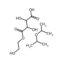 CC(C)OC(C)C.O=C(O)C(O)C(O)C(=O)OCCO